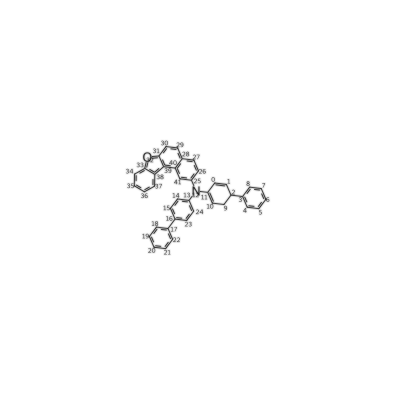 C1=CC(c2ccccc2)CC=C1N(c1ccc(-c2ccccc2)cc1)c1ccc2ccc3oc4ccccc4c3c2c1